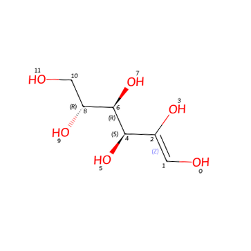 O/C=C(\O)[C@@H](O)[C@H](O)[C@H](O)CO